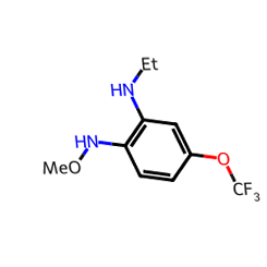 CCNc1cc(OC(F)(F)F)ccc1NOC